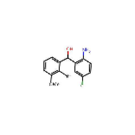 COc1cccc(C(O)c2cc(Cl)ccc2N)c1C(C)C